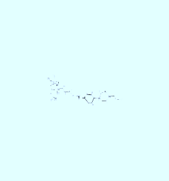 CCCC1CCC(c2ccc(OCCCCC[Si](C)(C[Si](C)(C)C)O[Si](C)(C)C)cc2)CC1